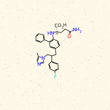 Cc1cncn1CC(Cc1ccc(N[C@@H](CCC(N)=O)C(=O)O)c(-c2ccccc2)c1)c1ccc(F)cc1